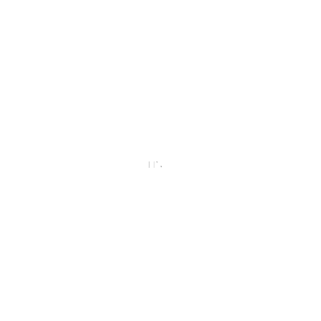 CCC[CH]NC(CCC)C1CCCC1